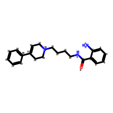 Nc1ccccc1C(=O)NCCCCN1CC=C(c2ccccc2)CC1